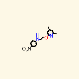 Cc1cc(C)nc(OCCNc2ccc([N+](=O)[O-])cc2)c1